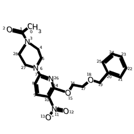 CC(=O)N1CCN(c2ccc([N+](=O)[O-])c(OCCOCc3ccccc3)n2)CC1